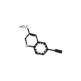 C#Cc1ccc2c(c1)C=C(C(=O)O)CO2